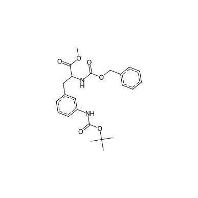 COC(=O)C(Cc1cccc(NC(=O)OC(C)(C)C)c1)NC(=O)OCc1ccccc1